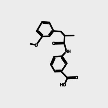 COc1cccc(CC(C)C(=O)Nc2cccc(C(=O)O)c2)c1